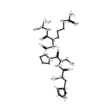 CC(C)[C@H](NC(=O)[C@@H](CCCNC(=N)N)NC(=O)[C@H]1CCCN1C(=O)[C@@H](CO)NC(=O)[C@H](N)Cc1c[nH]cn1)C(=O)O